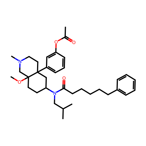 COC12CCC(N(CC(C)C)C(=O)CCCCCc3ccccc3)CC1(c1cccc(OC(C)=O)c1)CCN(C)C2